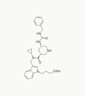 COCCCn1cc(CN(C(=O)[C@@H]2CNC[C@H](NC(=O)NCc3ccccc3)C2)C2CC2)c2ccccc21